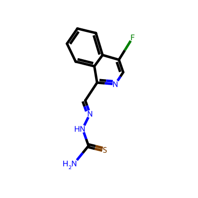 NC(=S)N/N=C/c1ncc(F)c2ccccc12